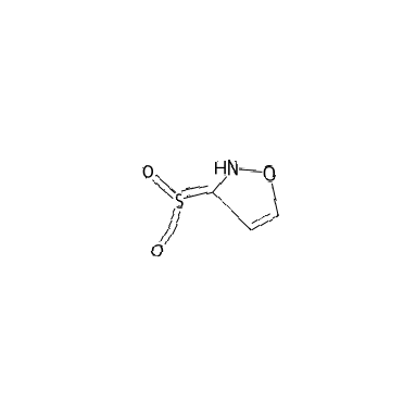 O=S(=O)=c1cco[nH]1